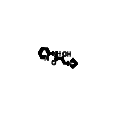 O=C(Nc1ccccn1)[C@@H](O)CN1CCC1